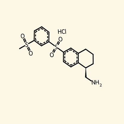 CS(=O)(=O)c1cccc(S(=O)(=O)c2ccc3c(c2)CCC[C@H]3CN)c1.Cl